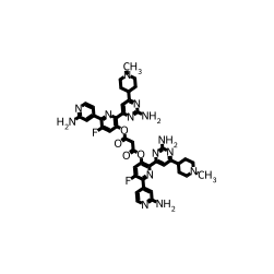 CN1CCC(c2cc(-c3nc(-c4ccnc(N)c4)c(F)cc3OC(=O)CC(=O)Oc3cc(F)c(-c4ccnc(N)c4)nc3-c3cc(C4CCN(C)CC4)nc(N)n3)nc(N)n2)CC1